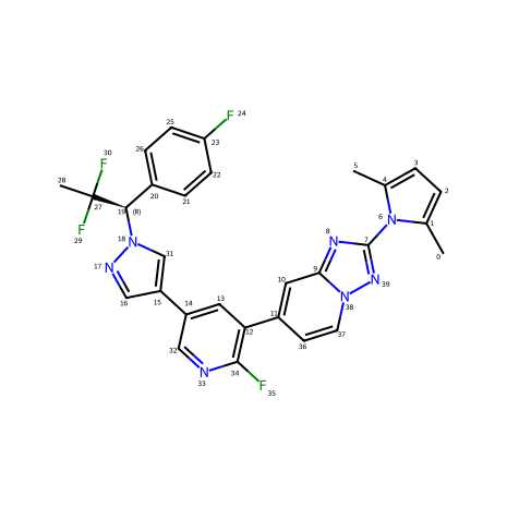 Cc1ccc(C)n1-c1nc2cc(-c3cc(-c4cnn([C@H](c5ccc(F)cc5)C(C)(F)F)c4)cnc3F)ccn2n1